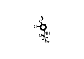 CCOc1ccc(NC(=O)[N+](C)(C)OC)cc1Cl